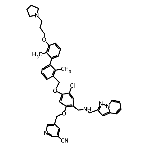 Cc1c(COc2cc(OCc3cncc(C#N)c3)c(CNCc3cc4ccccn4n3)cc2Cl)cccc1-c1cccc(OCCCN2CCCC2)c1C